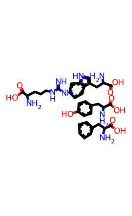 N=C(N)NCCCC(N)C(=O)O.NC(Cc1c[nH]c2ccccc12)C(=O)O.NC(Cc1ccc(O)cc1)C(=O)O.NC(Cc1ccccc1)C(=O)O